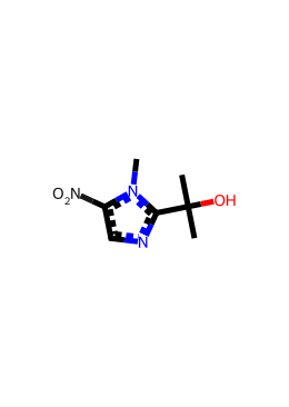 Cn1c([N+](=O)[O-])cnc1C(C)(C)O